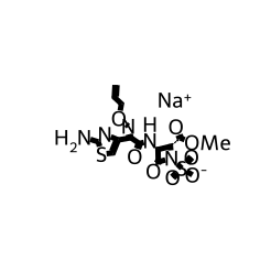 C=CCO/N=C(/C(=O)N[C@H]1C(=O)N(S(=O)(=O)[O-])[C@H]1C(=O)OC)c1csc(N)n1.[Na+]